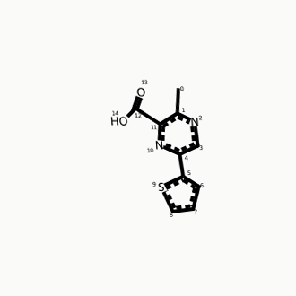 Cc1ncc(-c2cccs2)nc1C(=O)O